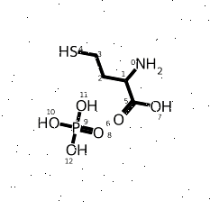 NC(CCS)C(=O)O.O=P(O)(O)O